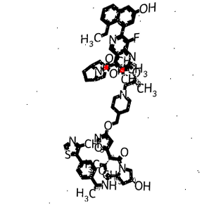 CCc1cccc2cc(O)cc(-c3ncc4c(N5CC6CCC(C5)N6C(=O)OC(C)(C)C)nc(O[C@H](C)CN5CCC(COc6cc([C@H](C(=O)N7C[C@H](O)C[C@H]7C(=O)N[C@@H](C)c7ccc(-c8scnc8C)cc7)C(C)C)on6)CC5)nc4c3F)c12